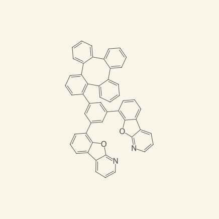 c1ccc2c(c1)-c1ccccc1-c1cccc(-c3cc(-c4cccc5c4oc4ncccc45)cc(-c4cccc5c4oc4ncccc45)c3)c1-c1ccccc1-2